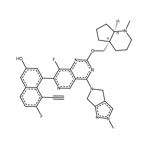 C#Cc1c(F)ccc2cc(O)cc(-c3ncc4c(N5Cc6cn(C)nc6C5)nc(OC[C@]56CCC[C@H]5N(C)CCC6)nc4c3F)c12